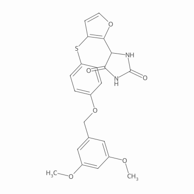 COc1cc(COc2ccc(Sc3ccoc3C3NC(=O)NC3=O)cc2)cc(OC)c1